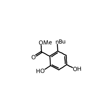 CCCCc1cc(O)cc(O)c1C(=O)OC